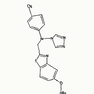 CCCCOc1ccc2sc(CN(c3ccc(C#N)cc3)n3cnnc3)nc2c1